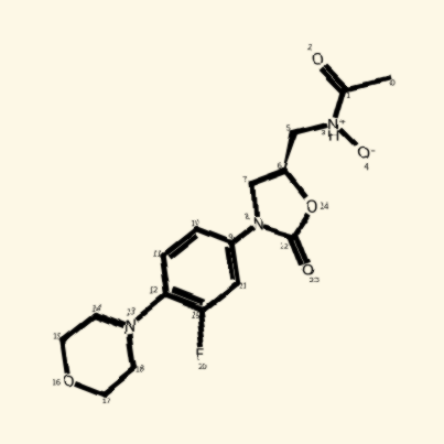 CC(=O)[NH+]([O-])C[C@@H]1CN(c2ccc(N3CCOCC3)c(F)c2)C(=O)O1